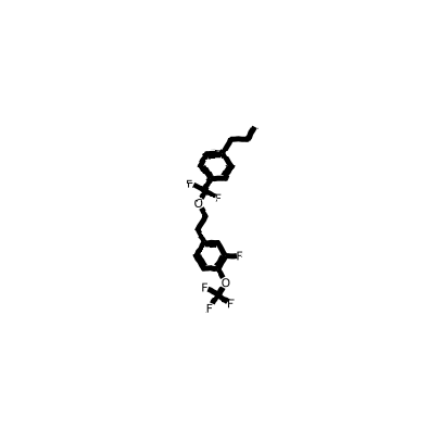 CCCc1ccc(C(F)(F)OCCc2ccc(OC(F)(F)F)c(F)c2)cc1